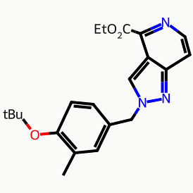 CCOC(=O)c1nccc2nn(Cc3ccc(OC(C)(C)C)c(C)c3)cc12